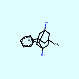 CC12CC3(C)CC(N)(C1)C(c1ccccc1)C(N)(C2)C3